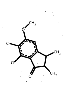 COc1cc2c(c(Cl)c1Cl)C(=O)C(C)C2C